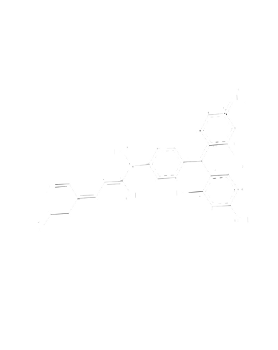 C=C/C(=C\C=C(/C)N(C)c1ccc(/C(c2ccc(C)cc2C)=c2\ccc(=C)cc2C)cc1)CCC